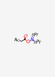 CCCN(CCC)OC(=O)CC(C)=O